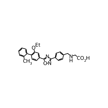 CCOc1cc(-c2nc(-c3ccc(CNCC(=O)O)cc3)no2)ccc1-c1ccccc1C